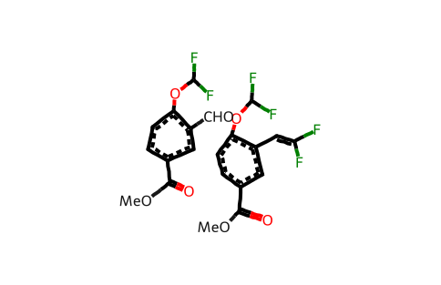 COC(=O)c1ccc(OC(F)F)c(C=C(F)F)c1.COC(=O)c1ccc(OC(F)F)c(C=O)c1